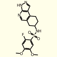 COc1cc(F)c(S(=O)(=O)NC2CCc3c(cnc4[nH]ncc34)C2)cc1OC